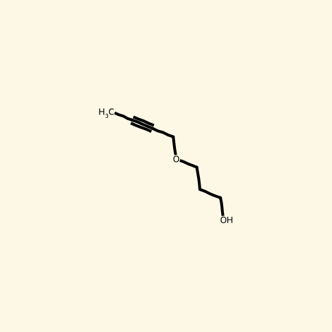 CC#CCOCCCO